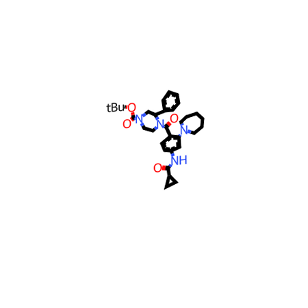 CC(C)(C)OC(=O)N1CCN(C(=O)c2ccc(NC(=O)C3CC3)cc2N2CCCCCC2)C(c2ccccc2)C1